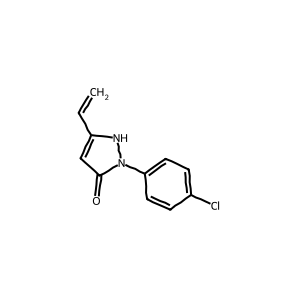 C=Cc1cc(=O)n(-c2ccc(Cl)cc2)[nH]1